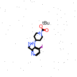 CC(C)(C)OC(=O)N1CCC(n2ncc3nccc(I)c32)CC1